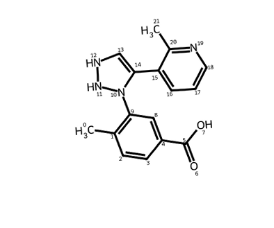 Cc1ccc(C(=O)O)cc1N1NNC=C1c1cccnc1C